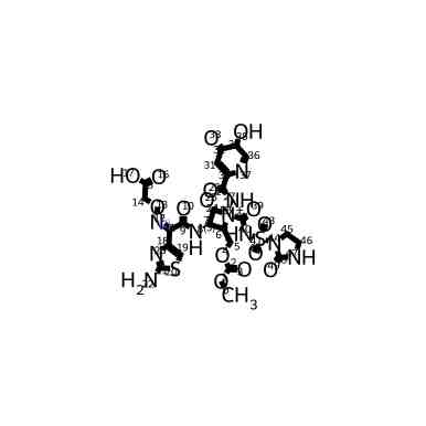 COC(=O)OCC1[C@H](NC(=O)/C(=N\OCC(=O)O)c2csc(N)n2)C(=O)[N@+]1(NC(=O)C1=CC(=O)C(O)C=N1)C(=O)NS(=O)(=O)N1CCNC1=O